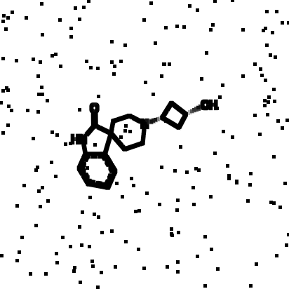 O=C1Nc2ccccc2C12CCN([C@H]1C[C@@H](O)C1)CC2